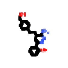 Nc1nnc(-c2ccccc2O)cc1CCc1ccc(CO)cc1